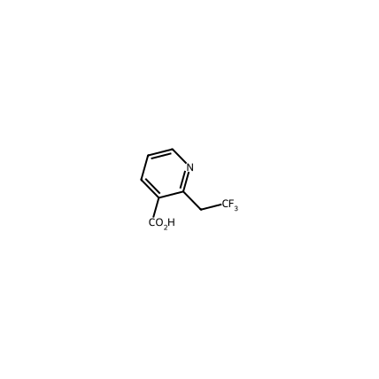 O=C(O)c1cccnc1CC(F)(F)F